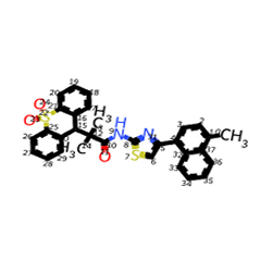 Cc1ccc(-c2csc(NC(=O)C(C)(C)C3c4ccccc4S(=O)(=O)c4ccccc43)n2)c2ccccc12